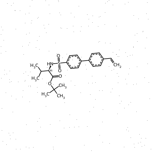 C=Cc1ccc(-c2ccc(S(=O)(=O)N[C@@H](C(=O)OC(C)(C)C)C(C)C)cc2)cc1